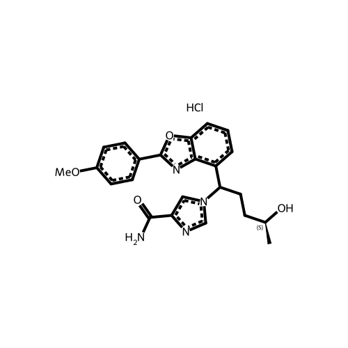 COc1ccc(-c2nc3c(C(CC[C@H](C)O)n4cnc(C(N)=O)c4)cccc3o2)cc1.Cl